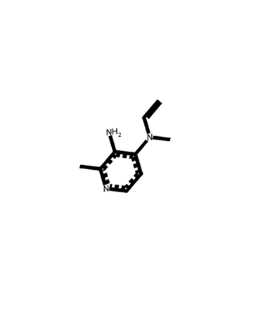 C=CN(C)c1ccnc(C)c1N